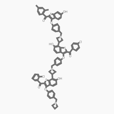 Cc1ccc(C(=O)c2sc3cc(O)ccc3c2Oc2ccc(CN3CC(c4c(O)ccc5c(Oc6ccc(CN7CC(c8c(O)ccc9c(Oc%10ccc(CN%11CCC%11)cc%10)c(C(=O)c%10ccccc%10Cl)sc89)C7)cc6)c(C(=O)c6ccc(Cl)cc6)sc45)C3)cc2)c(C)c1